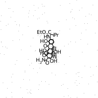 CCOC(=O)C(Nc1ccc2c(c1O)C(=O)C1=C(O)[C@@]3(O)C(=O)C(C(N)=O)=C(O)[C@@H](N(C)C)[C@H]3[C@H](O)[C@H]1[C@@H]2C)C(C)C